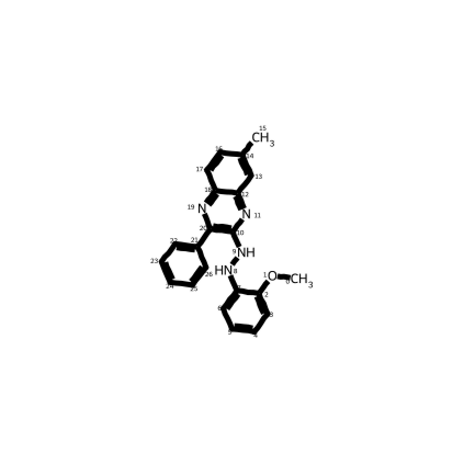 COc1ccccc1NNc1nc2cc(C)ccc2nc1-c1ccccc1